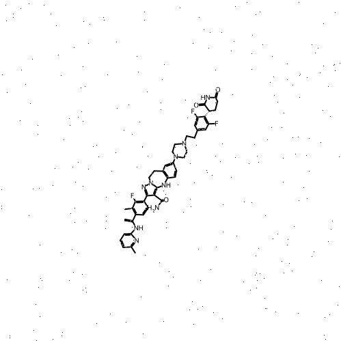 C=C(Nc1cccc(C)n1)c1ccc(-c2nn3c(c2C(N)=O)Nc2ccc(N4CCN(CCc5cc(F)c([C@H]6CCC(=O)NC6=O)c(F)c5)CC4)cc2CC3)c(F)c1C